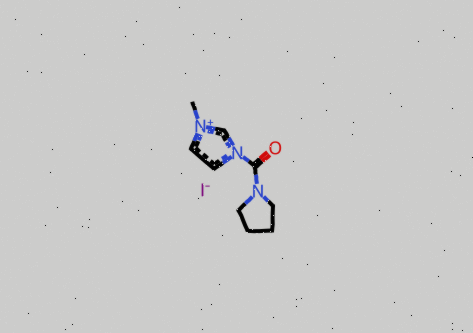 C[n+]1ccn(C(=O)N2CCCC2)c1.[I-]